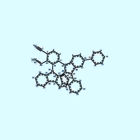 N#Cc1ccc(-n2c3ccc(-c4ccccc4)cc3c3c4ccccc4ccc32)c(-n2c3ccccc3c3ccccc32)c1C=N